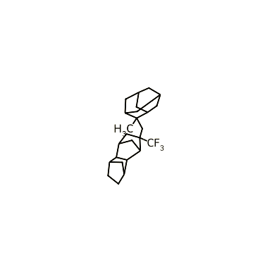 CC1(CC2(C(F)(F)F)CC3CC2C2C4CCC(C4)C32)C2CC3CC(C2)CC1C3